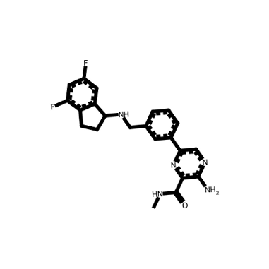 CNC(=O)c1nc(-c2cccc(CNC3CCc4c(F)cc(F)cc43)c2)cnc1N